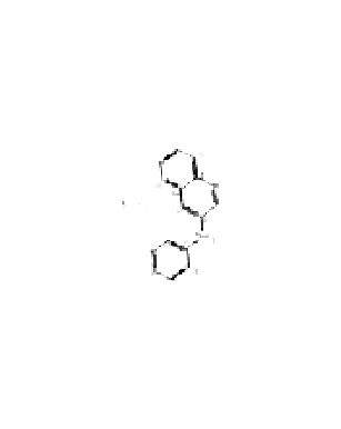 Cl.c1ccc(Pc2ccc3ccccc3c2)cc1